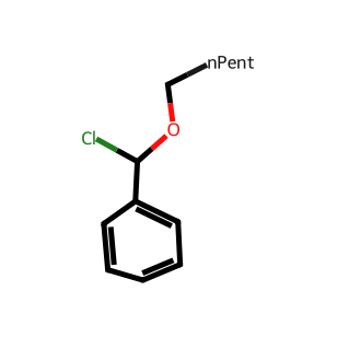 CCCCCCOC(Cl)c1ccccc1